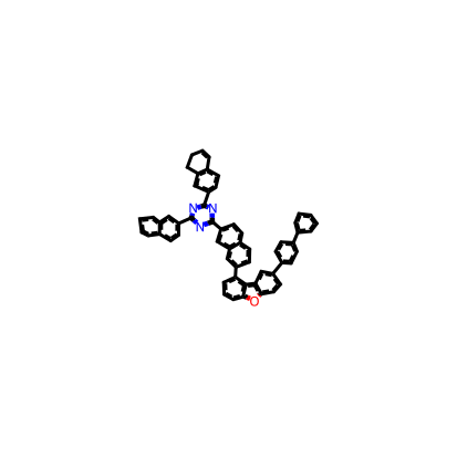 C1=Cc2ccc(-c3nc(-c4ccc5ccccc5c4)nc(-c4ccc5ccc(-c6cccc7oc8ccc(-c9ccc(-c%10ccccc%10)cc9)cc8c67)cc5c4)n3)cc2CC1